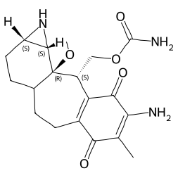 CO[C@]12C(CCC3=C(C(=O)C(N)=C(C)C3=O)[C@H]1COC(N)=O)CC[C@@H]1N[C@@H]12